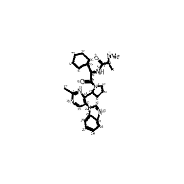 CNC(C)C(=O)NC(C(=O)N1CCCC1c1nc(C)ncc1-n1cnc2ccccc21)C1CCCCC1